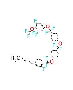 CCCCCc1ccc(C(F)(F)OC2CCC(C(F)(F)OC3CCC(C(F)(F)Oc4cc(F)c(OC(F)(F)F)c(F)c4)CC3)CC2)c(F)c1